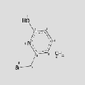 C.Oc1cccc(CBr)n1